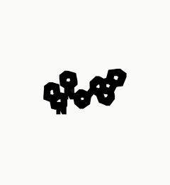 c1ccc(N(c2cccc(-c3ccc4c5c(cccc35)-c3ccccc3-4)c2)c2cncc3ccccc23)cc1